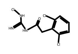 N=C(NCl)NC(=O)Cc1c(Cl)cccc1Cl